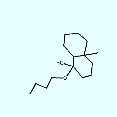 CCCCOC1(O)CCCC2(C)CCCCC21